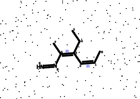 C/C=C\C(CC)=C(\C)N=N